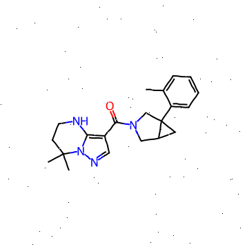 Cc1ccccc1C12CC1CN(C(=O)c1cnn3c1NCCC3(C)C)C2